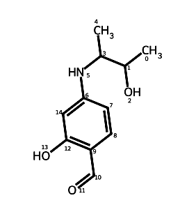 CC(O)C(C)Nc1ccc(C=O)c(O)c1